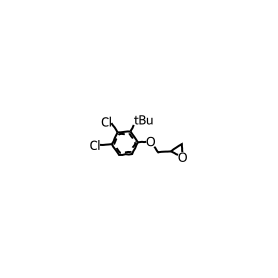 CC(C)(C)c1c(OCC2CO2)ccc(Cl)c1Cl